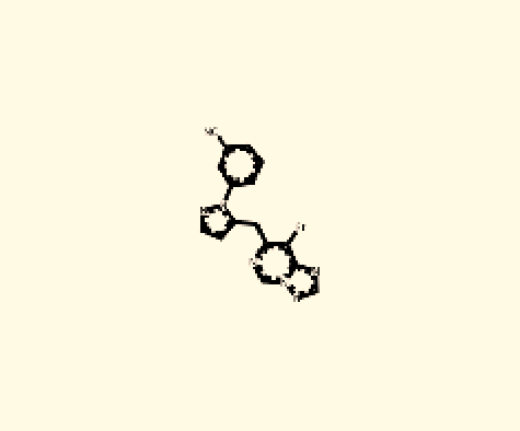 CCc1c(Cc2ccnn2-c2cccc(C#N)c2)ncn2ncnc12